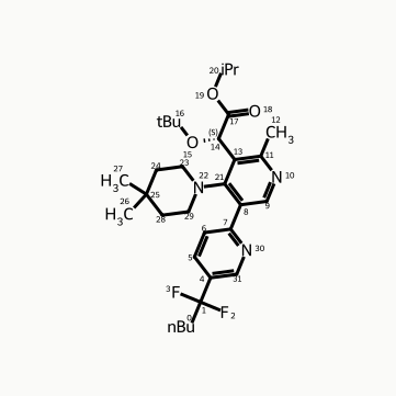 CCCCC(F)(F)c1ccc(-c2cnc(C)c([C@H](OC(C)(C)C)C(=O)OC(C)C)c2N2CCC(C)(C)CC2)nc1